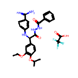 CCOc1cc(C(Nc2ccc(C(=N)N)cc2)C(=O)NNC(=O)c2ccccc2)ccc1OC(C)C.O=C(O)C(F)(F)F